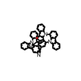 N#Cc1cc(-c2ccccc2-n2c3ccccc3c3ccccc32)cc(-n2c3ccccc3c3cccc(-n4c5ccccc5c5cc(C#N)ccc54)c32)c1